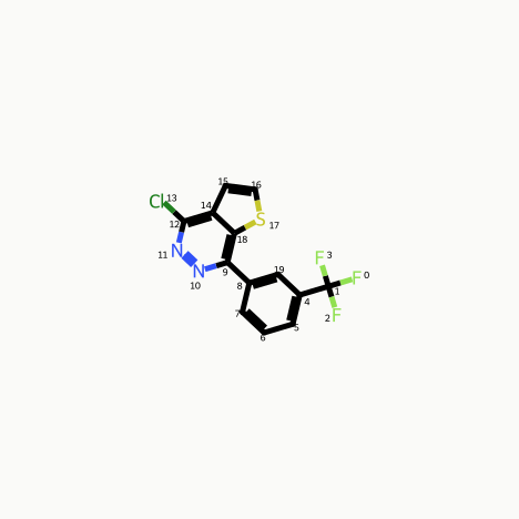 FC(F)(F)c1cccc(-c2nnc(Cl)c3ccsc23)c1